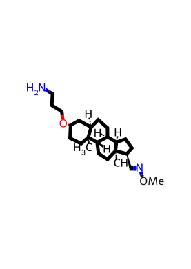 CO/N=C/[C@@H]1CC[C@@H]2[C@@H]3CC[C@@H]4C[C@@H](OCCCN)CC[C@]4(C)[C@H]3CC[C@]12C